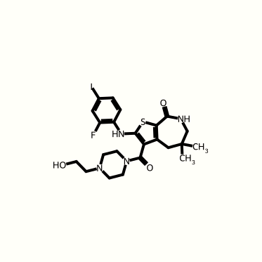 CC1(C)CNC(=O)c2sc(Nc3ccc(I)cc3F)c(C(=O)N3CCN(CCO)CC3)c2C1